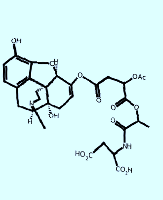 CC(=O)OC(CC(=O)OC1=CC[C@@]2(O)[C@H]3Cc4ccc(O)c5c4[C@@]2(CCN3C)[C@H]1O5)C(=O)OC(C)C(=O)NC(CC(=O)O)C(=O)O